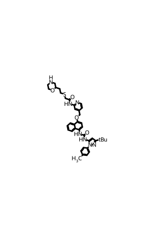 Cc1ccc(-n2nc(C(C)(C)C)cc2NC(=O)Nc2ccc(OCc3ccnc(NC(=O)CSCCC4CNCCO4)c3)c3ccccc23)cc1